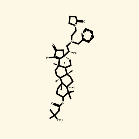 CC(C)C1=C2[C@H]3CC[C@@H]4[C@@]5(C)CCC(OC(=O)CC(C)(C)C(=O)O)C(C)(C)[C@@H]5CC[C@@]4(C)[C@]3(C)CC[C@@]2([C@@H](O)CN(CCN2CCCC2=O)Cc2ccccn2)CC1=O